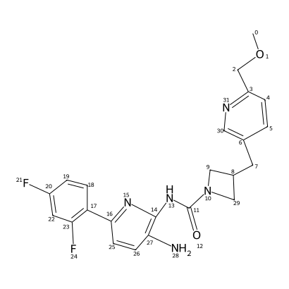 COCc1ccc(CC2CN(C(=O)Nc3nc(-c4ccc(F)cc4F)ccc3N)C2)cn1